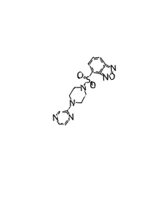 O=S(=O)(c1cccc2nonc12)N1CCN(c2cnccn2)CC1